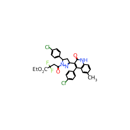 CCOC(=O)C(F)(F)CC(=O)N1N=C(c2c(-c3ccc(Cl)cc3)c3cc(C)ccc3[nH]c2=O)CC1c1ccc(Cl)cc1